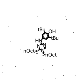 CCCCCCCCSC1N=C(Nc2cc(C(C)(C)C)c(O)c(C(C)(C)C)c2)N=CN1SCCCCCCCC